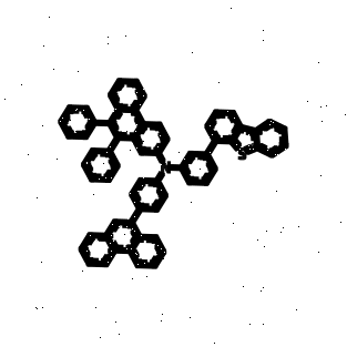 c1ccc(-c2c(-c3ccccc3)c3cc(N(c4ccc(-c5cc6ccccc6c6ccccc56)cc4)c4cccc(-c5cccc6c5sc5ccccc56)c4)ccc3c3ccccc23)cc1